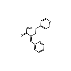 COC(=O)/C(=C/c1ccccn1)CCc1ccccc1